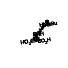 CC(C)(C)OC(=O)NCCCCCCNC(=O)c1cc(C(=O)O)cc(C(=O)O)c1